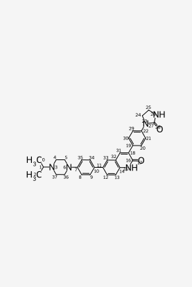 CC(C)N1CCN(c2ccc(-c3ccc4[nH]c(=O)c(-c5ccc(N6CCNC6=O)cc5)cc4c3)cc2)CC1